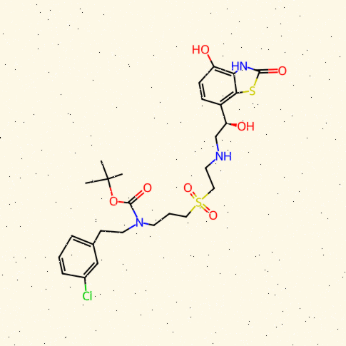 CC(C)(C)OC(=O)N(CCCS(=O)(=O)CCNC[C@H](O)c1ccc(O)c2[nH]c(=O)sc12)CCc1cccc(Cl)c1